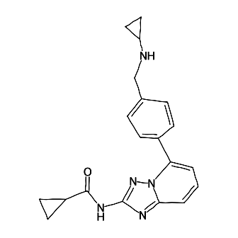 O=C(Nc1nc2cccc(-c3ccc(CNC4CC4)cc3)n2n1)C1CC1